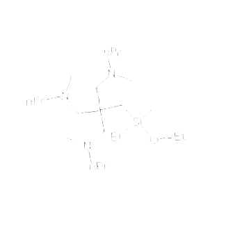 CCCN(C)CC(CN(C)CCC)(CN(C)CCC)C[Si](C)(CC)OCC